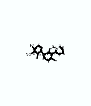 Cc1ccc(-c2ccc(F)c(C#N)c2C)c(C)c1-c1cccc[n+]1C